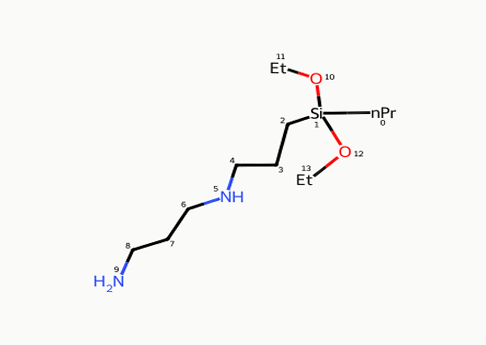 CCC[Si](CCCNCCCN)(OCC)OCC